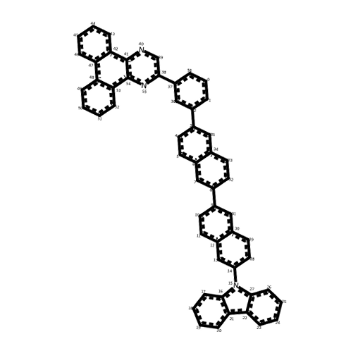 c1cc(-c2ccc3cc(-c4ccc5cc(-n6c7ccccc7c7ccccc76)ccc5c4)ccc3c2)cc(-c2cnc3c4ccccc4c4ccccc4c3n2)c1